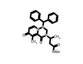 CNC(=O)CC(C)N1CN(C(c2ccccc2)c2ccccc2)n2ccc(=O)c(C)c2C1=O